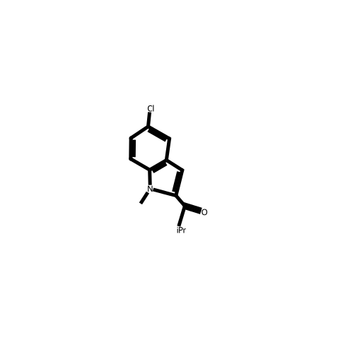 CC(C)C(=O)c1cc2cc(Cl)ccc2n1C